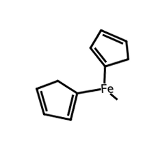 [CH3][Fe]([C]1=CC=CC1)[C]1=CC=CC1